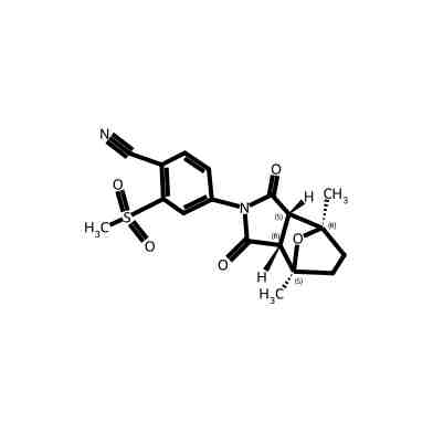 C[C@]12CC[C@](C)(O1)[C@@H]1C(=O)N(c3ccc(C#N)c(S(C)(=O)=O)c3)C(=O)[C@@H]12